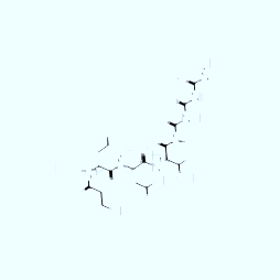 CCCC(=O)N(C)[C@H](CCC)C(=O)N(C)[C@@H](CC(C)C)C(=O)N[C@H](C(=O)N(C)C(=O)NC(=O)NC(=O)NC)C(C)C